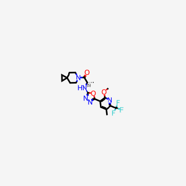 COc1nc(C(F)(F)F)c(C)cc1-c1nnc(N[C@@H](C)C(=O)N2CCC3(CC2)CC3)o1